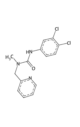 CN(Cc1ccccn1)C(=O)Nc1ccc(Cl)c(Cl)c1